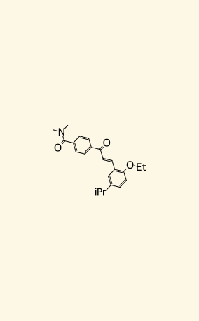 CCOc1ccc(C(C)C)cc1C=CC(=O)c1ccc(C(=O)N(C)C)cc1